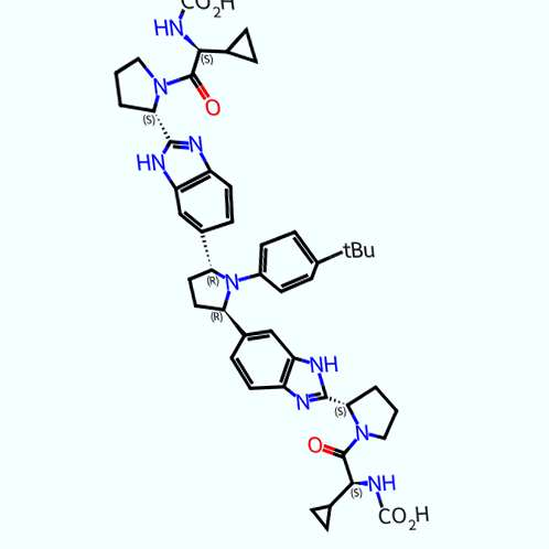 CC(C)(C)c1ccc(N2[C@@H](c3ccc4nc([C@@H]5CCCN5C(=O)[C@@H](NC(=O)O)C5CC5)[nH]c4c3)CC[C@@H]2c2ccc3nc([C@@H]4CCCN4C(=O)[C@@H](NC(=O)O)C4CC4)[nH]c3c2)cc1